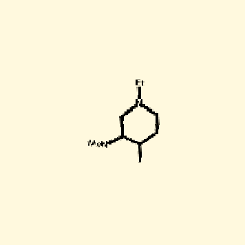 CCN1CCC(C)C(NC)C1